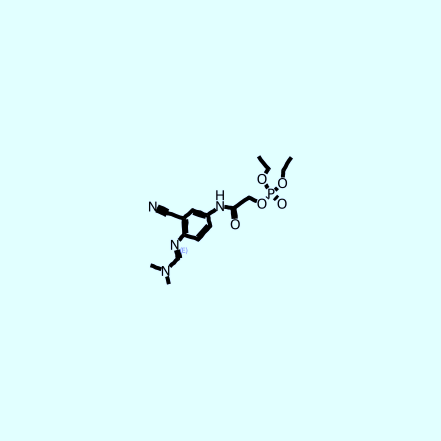 CCOP(=O)(OCC)OCC(=O)Nc1ccc(/N=C/N(C)C)c(C#N)c1